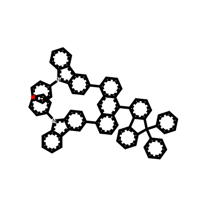 c1ccc(-n2c3ccccc3c3cc(-c4cccc5c(-c6cccc7c6-c6ccccc6C7(c6ccccc6)c6ccccc6)c6cccc(-c7ccc8c(c7)c7ccccc7n8-c7ccccc7)c6cc45)ccc32)cc1